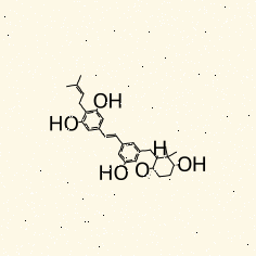 CC(C)=CCc1c(O)cc(/C=C/c2cc(O)c3c(c2)C[C@@H]2C(C)(C)[C@H](O)CC[C@@]2(C)O3)cc1O